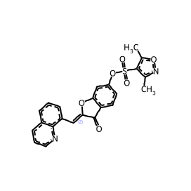 Cc1noc(C)c1S(=O)(=O)Oc1ccc2c(c1)O/C(=C\c1cccc3cccnc13)C2=O